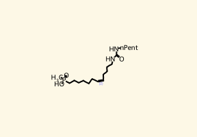 CCCCCNC(=O)NCCCC/C=C\CCCCCCP(C)(=O)O